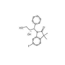 CC1(C)C(=O)N(C(c2ccccc2)[C@H](O)CO)c2cc(F)ccc21